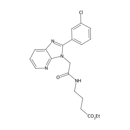 CCOC(=O)CCCNC(=O)Cn1c(-c2cccc(Cl)c2)nc2cccnc21